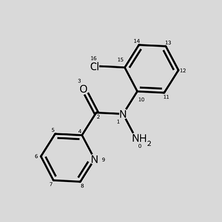 NN(C(=O)c1ccccn1)c1ccccc1Cl